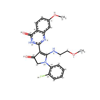 COCCNC1=C(c2nc3cc(OC)ccc3c(=O)[nH]2)C(=O)CN1c1ccccc1F